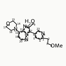 COCCc1ccc(-c2c(C)nc3c(N4CCOCC4)ccnn23)cn1.O